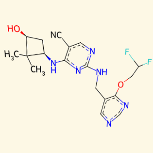 CC1(C)[C@@H](O)C[C@H]1Nc1nc(NCc2cncnc2OCC(F)F)ncc1C#N